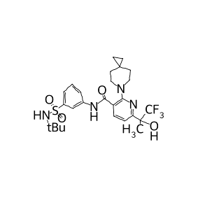 CC(C)(C)NS(=O)(=O)c1cccc(NC(=O)c2ccc(C(C)(O)C(F)(F)F)nc2N2CCC3(CC2)CC3)c1